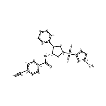 Cn1cnc(S(=O)(=O)N2C[C@H](NC(=O)c3ccc(C#N)cc3)[C@@H](c3ccccc3)C2)c1